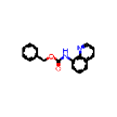 O=C(Nc1cccc2cccnc12)OCc1ccccc1